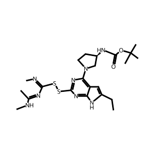 CCc1cc2c(N3CC[C@@H](NC(=O)OC(C)(C)C)C3)nc(SSC(/N=C(\C)NC)=N/C)nc2[nH]1